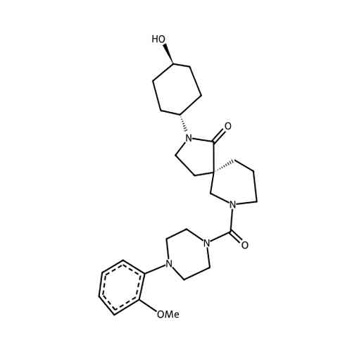 COc1ccccc1N1CCN(C(=O)N2CCC[C@@]3(CCN([C@H]4CC[C@H](O)CC4)C3=O)C2)CC1